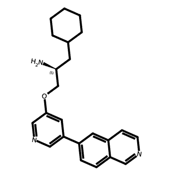 N[C@H](COc1cncc(-c2ccc3cnccc3c2)c1)CC1CCCCC1